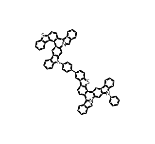 c1ccc(-n2c3ccccc3c3cc4c5c(ccc6c7cc(-c8ccc(-n9c%10ccccc%10c%10cc%11c%12c(ccc%13sc%14ccccc%14c%13%12)c%12c%13ccccc%13cn%12c%11cc%109)cc8)ccc7sc65)c5c6ccccc6cn5c4cc32)cc1